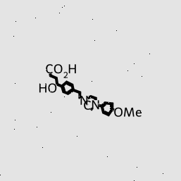 COc1ccc(N2CCN(CCc3ccc(C(O)CCC(=O)O)cc3)CC2)cc1